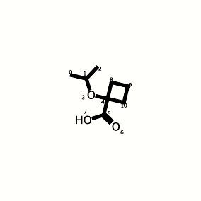 CC(C)OC1(C(=O)O)CCC1